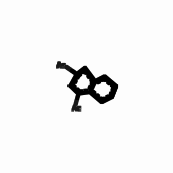 CC(=O)c1[c]c(C(C)=O)c2ccccc2c1